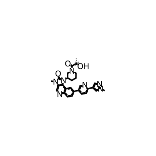 C[C@H](O)C(=O)N1CCCC(n2c(=O)n(C)c3cnc4ccc(-c5ccc(-c6cnn(C)c6)nc5)cc4c32)C1